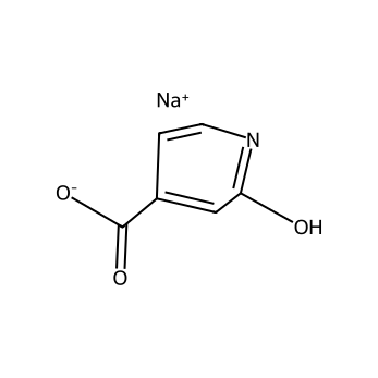 O=C([O-])c1ccnc(O)c1.[Na+]